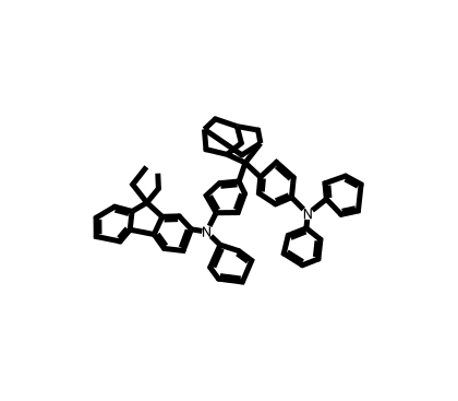 CCC1(CC)c2ccccc2-c2ccc(N(c3ccccc3)c3ccc(C4(c5ccc(N(c6ccccc6)c6ccccc6)cc5)C5CC6CC(C5)CC4C6)cc3)cc21